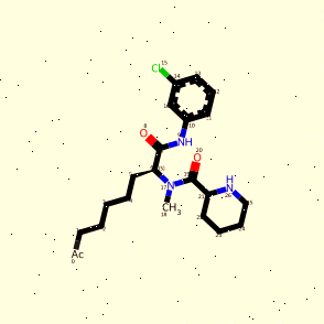 CC(=O)CCCCC[C@@H](C(=O)Nc1cccc(Cl)c1)N(C)C(=O)C1CCCCN1